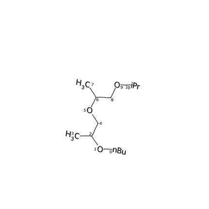 CCCCOC(C)COC(C)COC(C)C